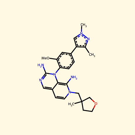 COc1cc(-c2cn(C)nc2C)ccc1N1C(N)=NC=C2C=CN(CC3(C)CCOC3)C(N)=C21